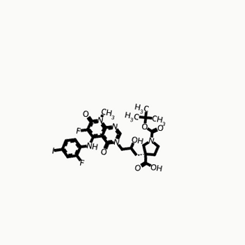 Cn1c(=O)c(F)c(Nc2ccc(I)cc2F)c2c(=O)n(CC(O)C[C@@]3(C(=O)O)CCN(C(=O)OC(C)(C)C)C3)cnc21